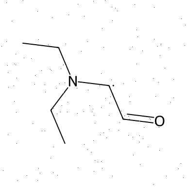 CCN([CH]C=O)CC